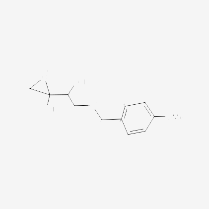 COc1ccc(COCC(O)C2(C)CO2)cc1